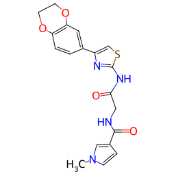 Cn1ccc(C(=O)NCC(=O)Nc2nc(-c3ccc4c(c3)OCCO4)cs2)c1